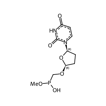 COP(O)CO[C@@H]1CC[C@H](n2ccc(=O)[nH]c2=O)O1